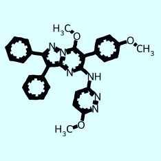 COc1ccc(-c2c(Nc3ccc(OC)nn3)nc3c(-c4ccccc4)c(-c4ccccc4)nn3c2OC)cc1